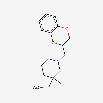 CC(=O)OCC1(C)CCCN(CC2COc3ccccc3O2)C1